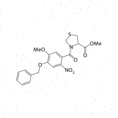 COC(=O)C1CSCN1C(=O)c1cc(OC)c(OCc2ccccc2)cc1[N+](=O)[O-]